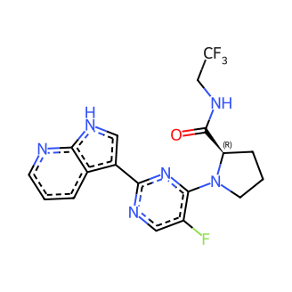 O=C(NCC(F)(F)F)[C@H]1CCCN1c1nc(-c2c[nH]c3ncccc23)ncc1F